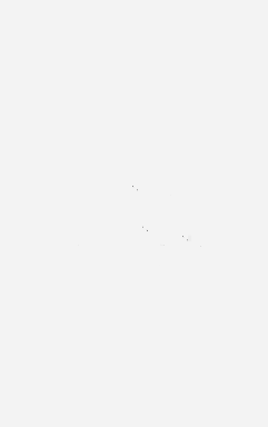 CC(C)c1cnc(N(Cc2cc(F)ccc2F)C(N)=O)s1